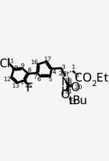 CCOC(=O)C[C@@H](Cc1ccc(-c2cc(Cl)ccc2F)cc1)NC(=O)OC(C)(C)C